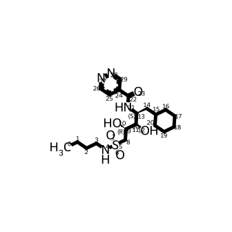 CCCCNS(=O)(=O)C[C@H](O)[C@H](O)[C@H](CC1CCCCC1)NC(=O)c1ccnnc1